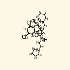 O=C(COCC1CCCCN1S(=O)(=O)c1c(Cl)cc(Cl)cc1Cl)NCCN1CCCC1